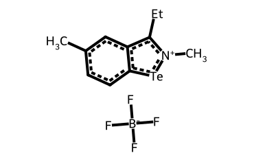 CCc1c2cc(C)ccc2[te][n+]1C.F[B-](F)(F)F